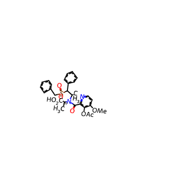 COc1ccnc(C(=O)N(C(C)C(c2ccccc2)S(=O)(=O)Cc2ccccc2)[C@@H](C)C(=O)O)c1OC(C)=O